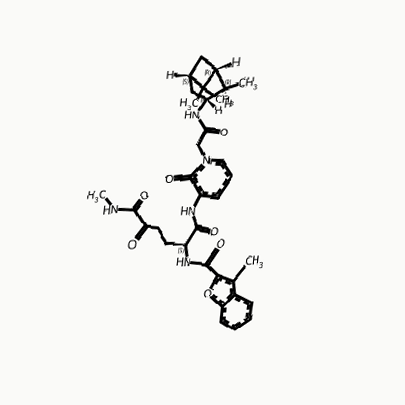 CNC(=O)C(=O)CC[C@H](NC(=O)c1oc2ccccc2c1C)C(=O)Nc1cccn(CC(=O)N[C@@H]2C[C@@H]3C[C@H]([C@H]2C)C3(C)C)c1=O